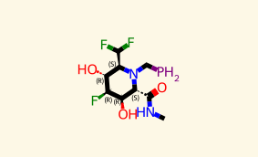 CNC(=O)[C@@H]1[C@@H](O)[C@@H](F)[C@H](O)[C@@H](C(F)F)N1CP